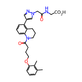 Cc1cccc(OCCCC(=O)N2CCCc3c(-c4cnn(CC(=O)NCC(=O)O)c4)cccc32)c1C